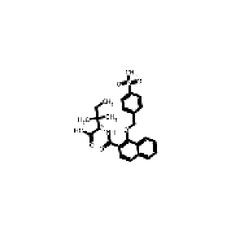 CCC(C)(C)[C@H](NC(=O)c1ccc2ccccc2c1OCc1ccc(S(C)(=O)=O)cc1)C(=O)O